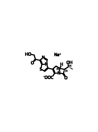 C[C@@H](O)[C@H]1C(=O)N2C(C(=O)[O-])=C(c3csc4c(C(=O)CO)ncn34)C[C@H]12.[Na+]